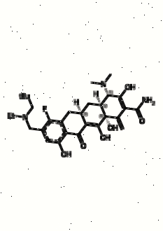 C=C1C(C(N)=O)=C(O)[C@@H](N(C)C)[C@@H]2C[C@@H]3Cc4c(F)c(CN(CC)CC(C)(C)C)cc(O)c4C(=O)C3=C(O)[C@]12O